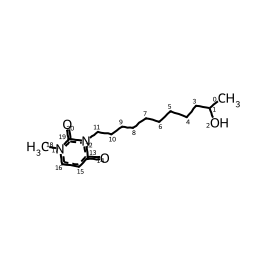 CC(O)CCCCCCCCCn1c(=O)ccn(C)c1=O